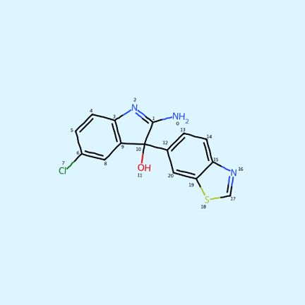 NC1=Nc2ccc(Cl)cc2C1(O)c1ccc2ncsc2c1